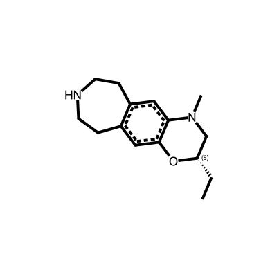 CC[C@H]1CN(C)c2cc3c(cc2O1)CCNCC3